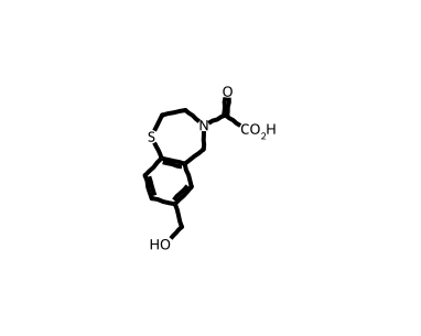 O=C(O)C(=O)N1CCSc2ccc(CO)cc2C1